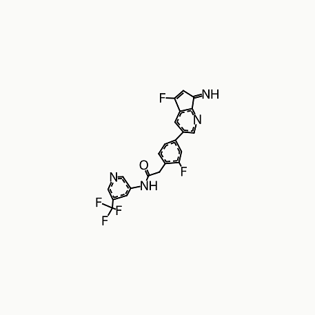 N=C1C=C(F)c2cc(-c3ccc(CC(=O)Nc4cncc(C(F)(F)F)c4)c(F)c3)cnc21